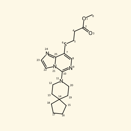 COC(=O)CCSc1cnc(N2CCC3(CCCC3)CC2)n2ccnc12